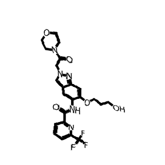 O=C(Nc1cc2cn(CC(=O)N3CCOCC3)nc2cc1OCCCO)c1cccc(C(F)(F)F)n1